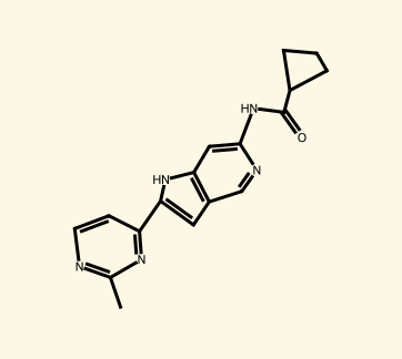 Cc1nccc(-c2cc3cnc(NC(=O)C4CCC4)cc3[nH]2)n1